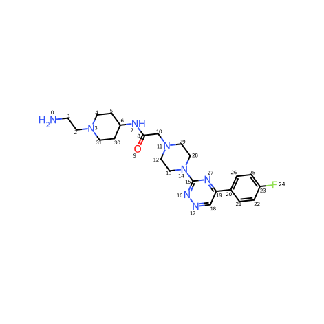 NCCN1CCC(NC(=O)CN2CCN(c3nncc(-c4ccc(F)cc4)n3)CC2)CC1